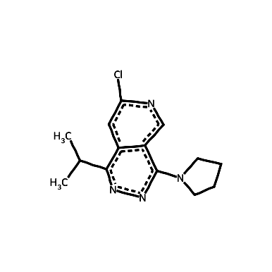 CC(C)c1nnc(N2CCCC2)c2cnc(Cl)cc12